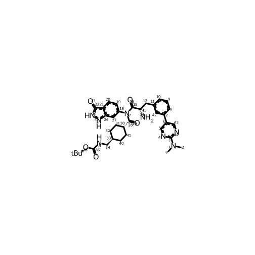 CN(C)c1ncc(-c2cccc(C[C@H](N)C(=O)N(c3ccc4c(=O)[nH][nH]c4c3)C(=O)[C@H]3CC[C@H](CNC(=O)OC(C)(C)C)CC3)c2)cn1